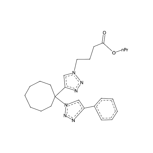 CCCOC(=O)CCCn1cc(C2(n3cc(-c4ccccc4)nn3)CCCCCCC2)nn1